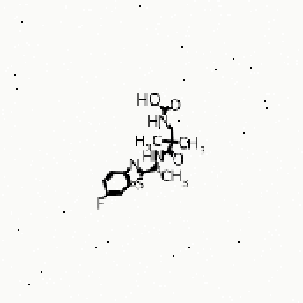 C[C@@H](NC(=O)C(C)(C)CNC(=O)O)c1nc2ccc(F)cc2s1